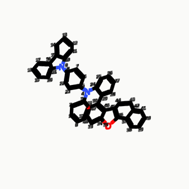 c1ccc(N(c2ccc(-n3c4ccccc4c4ccccc43)cc2)c2ccccc2-c2cccc3oc4c5ccccc5ccc4c23)cc1